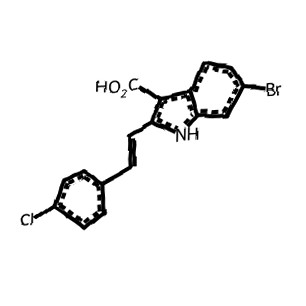 O=C(O)c1c(/C=C/c2ccc(Cl)cc2)[nH]c2cc(Br)ccc12